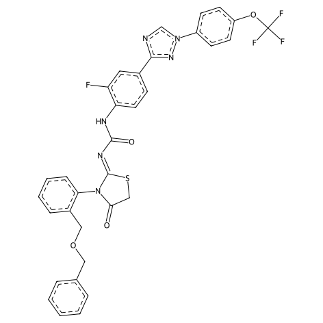 O=C(/N=C1\SCC(=O)N1c1ccccc1COCc1ccccc1)Nc1ccc(-c2ncn(-c3ccc(OC(F)(F)F)cc3)n2)cc1F